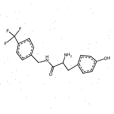 NC(Cc1ccc(O)cc1)C(=O)NCc1ccc(C(F)(F)F)cc1